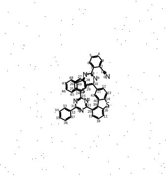 N#Cc1ccccc1-c1nc(-c2ccc3sc4cccc(-c5nc(-c6ccccc6)nc(-c6ccccc6)n5)c4c3c2)c2sc3ccccc3c2n1